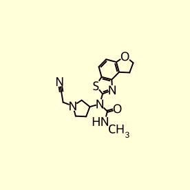 CNC(=O)N(c1nc2c3c(ccc2s1)OCC3)C1CCN(CC#N)C1